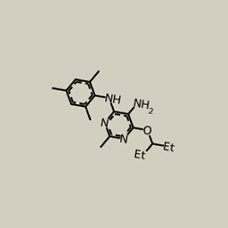 CCC(CC)Oc1nc(C)nc(Nc2c(C)cc(C)cc2C)c1N